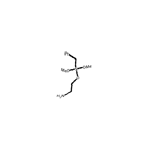 CO[Si](CC(C)C)(OC)OCCN